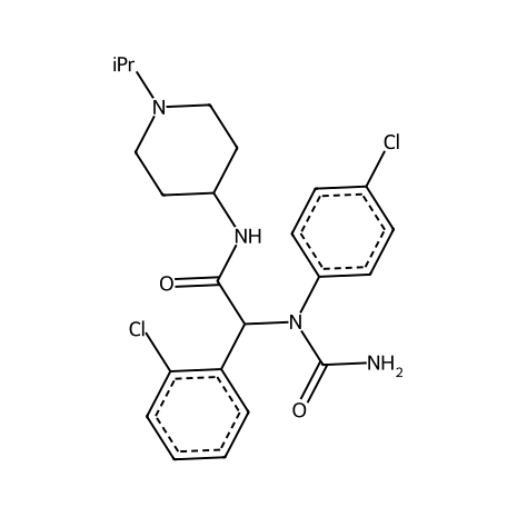 CC(C)N1CCC(NC(=O)C(c2ccccc2Cl)N(C(N)=O)c2ccc(Cl)cc2)CC1